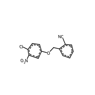 N#Cc1ccccc1COc1ccc(Cl)c([N+](=O)[O-])c1